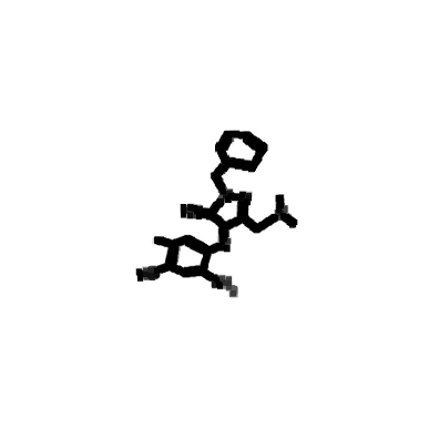 Cc1cc(N=C2C(=N)N(Cc3ccccc3)N=C2CN(C)C)c(N)cc1O